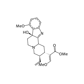 C=C[C@H]1CN2CC[C@@]3(O)C(=Nc4cccc(OC)c43)C2C[C@@H]1/C(=C\OC)C(=O)OC